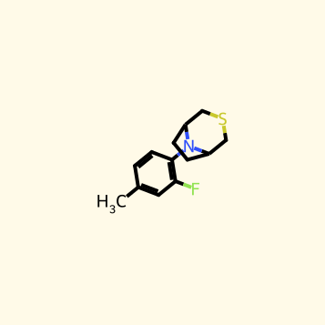 Cc1ccc(N2C3CCC2CSC3)c(F)c1